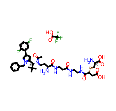 CC(=O)N(CC[C@H](N)C(=O)NCCC(=O)NCCNC(=O)C(CC(=O)O)SC[C@H](N)C(=O)O)[C@@H](c1cc(-c2cc(F)ccc2F)cn1Cc1ccccc1)C(C)(C)C.O=C(O)C(F)(F)F